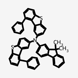 CC1(C)c2ccccc2-c2ccc(N(c3ccc4sc5cccc(-c6ccccc6)c5c4c3)c3ccc4sc5cccc(-c6ccccc6)c5c4c3)cc21